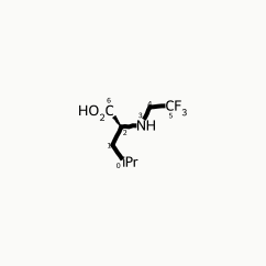 CC(C)C[C@H](NCC(F)(F)F)C(=O)O